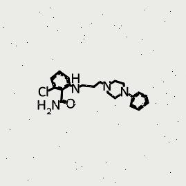 NC(=O)c1c(Cl)cccc1NCCCN1CCN(c2ccccc2)CC1